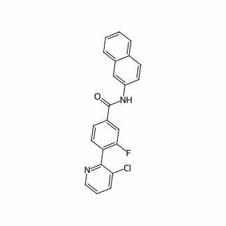 O=C(Nc1ccc2ccccc2c1)c1ccc(-c2ncccc2Cl)c(F)c1